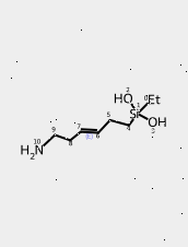 CC[Si](O)(O)CC/C=C/CCN